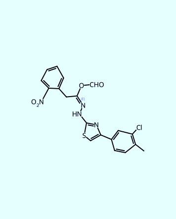 Cc1ccc(-c2csc(N/N=C(\Cc3ccccc3[N+](=O)[O-])OC=O)n2)cc1Cl